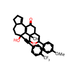 COc1ccc(C2CC3CC(=O)C4=C(C(O)(C#Cc5ccc(C(F)(F)F)cc5)CCC5CCC=C45)C3(C)CO2)cc1